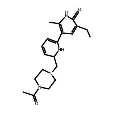 CCc1cc(C2=CC=CC(CN3CCN(C(C)=O)CC3)N2)c(C)[nH]c1=O